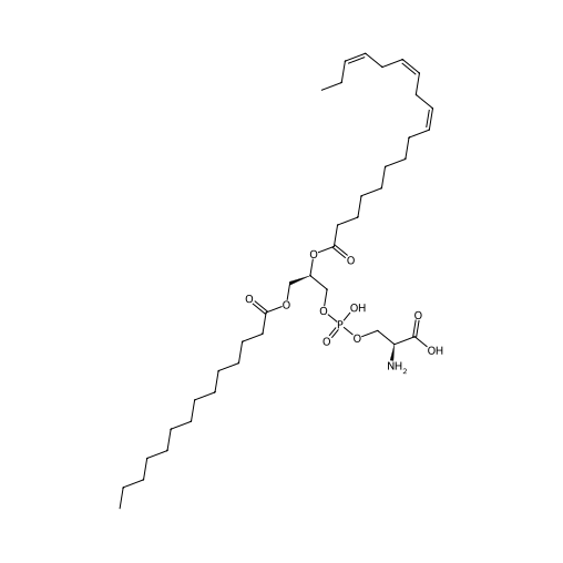 CC/C=C\C/C=C\C/C=C\CCCCCCCC(=O)O[C@H](COC(=O)CCCCCCCCCCCCC)COP(=O)(O)OC[C@H](N)C(=O)O